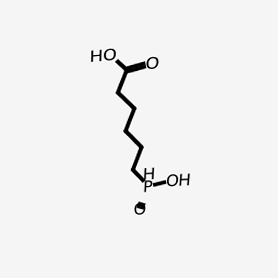 O=C(O)CCCCC[PH](=O)O